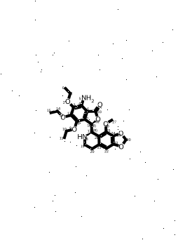 CCOc1c(N)c2c(c(OCC)c1OCC)[C@H]([C@@H]1NCCc3cc4c(c(OC)c31)OCO4)OC2=O